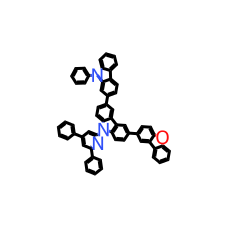 c1ccc(-c2cc(-c3ccccc3)nc(-n3c4ccc(-c5ccc6oc7ccccc7c6c5)cc4c4cc(-c5ccc6c7ccccc7n(-c7ccccc7)c6c5)ccc43)c2)cc1